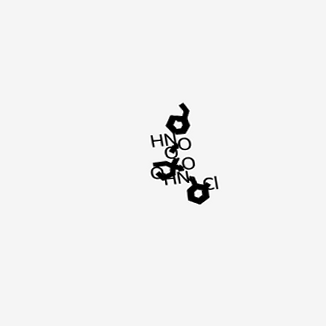 CCc1ccc(NC(=O)OCC2(C(=O)NCc3ccccc3Cl)CCOCC2)cc1